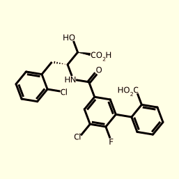 O=C(N[C@H](Cc1ccccc1Cl)[C@@H](O)C(=O)O)c1cc(Cl)c(F)c(-c2ccccc2C(=O)O)c1